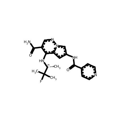 C[C@@H](Nc1c(C(N)=O)cnn2cc(NC(=O)c3ccncc3)cc12)C(C)(C)F